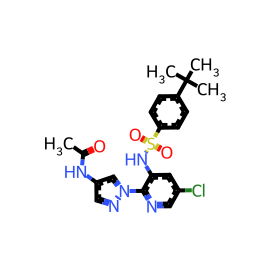 CC(=O)Nc1cnn(-c2ncc(Cl)cc2NS(=O)(=O)c2ccc(C(C)(C)C)cc2)c1